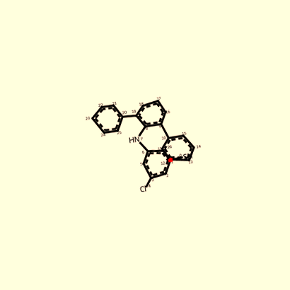 Sc1cc(Cl)cc(Nc2c(-c3ccccc3)cccc2-c2ccccc2)c1